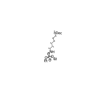 CCCCCCCCCCCCCCCCNOP(=O)(OCC)OCC